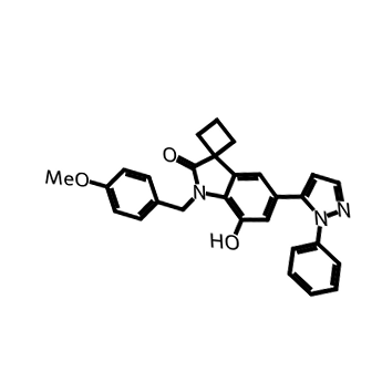 COc1ccc(CN2C(=O)C3(CCC3)c3cc(-c4ccnn4-c4ccccc4)cc(O)c32)cc1